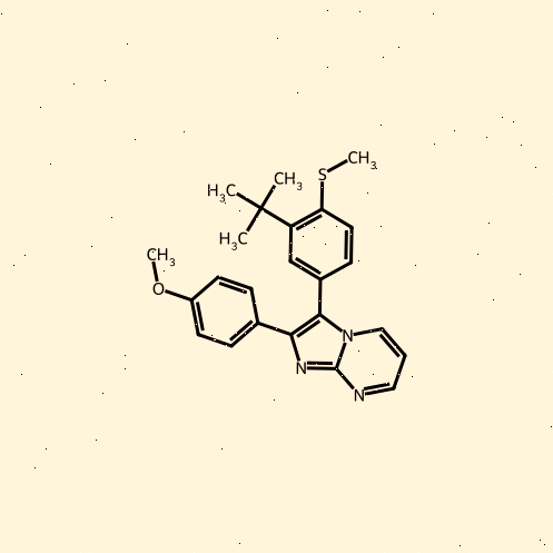 COc1ccc(-c2nc3ncccn3c2-c2ccc(SC)c(C(C)(C)C)c2)cc1